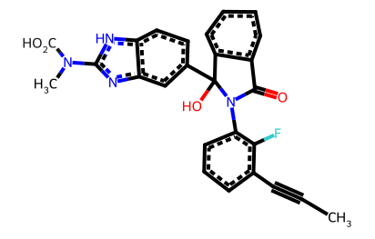 CC#Cc1cccc(N2C(=O)c3ccccc3C2(O)c2ccc3[nH]c(N(C)C(=O)O)nc3c2)c1F